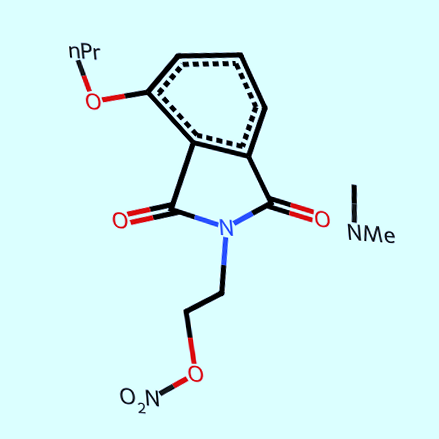 CCCOc1cccc2c1C(=O)N(CCO[N+](=O)[O-])C2=O.CNC